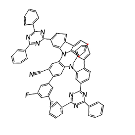 N#Cc1cc(-n2c3ccccc3c3ccc(-c4nc(-c5ccccc5)nc(-c5ccccc5)n4)cc32)c(-n2c3ccccc3c3ccc(-c4nc(-c5ccccc5)nc(-c5ccccc5)n4)cc32)cc1-c1cc(F)cc(F)c1